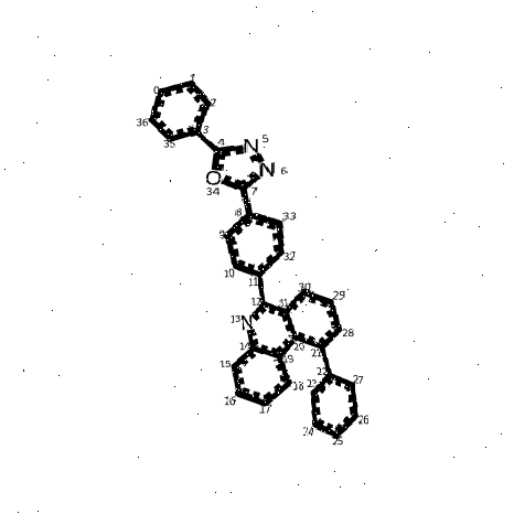 c1ccc(-c2nnc(-c3ccc(-c4nc5ccccc5c5c(-c6ccccc6)cccc45)cc3)o2)cc1